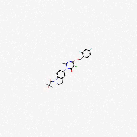 Cc1nc(OCc2ccc(F)cc2F)c(Cl)c(=O)n1-c1ccc2c(c1)CCN2C(=O)C(C)(C)O